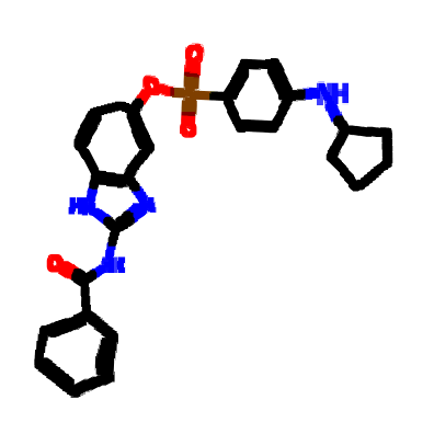 O=C(Nc1nc2cc(OS(=O)(=O)c3ccc(NC4CCCC4)cc3)ccc2[nH]1)c1ccccc1